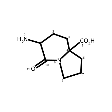 NC1CCC2(C(=O)O)CCCN2C1=O